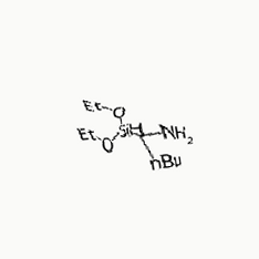 CCCCC(N)[SiH](OCC)OCC